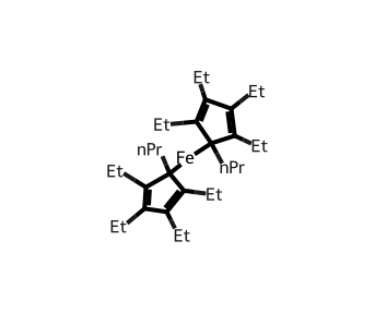 CCC[C]1([Fe][C]2(CCC)C(CC)=C(CC)C(CC)=C2CC)C(CC)=C(CC)C(CC)=C1CC